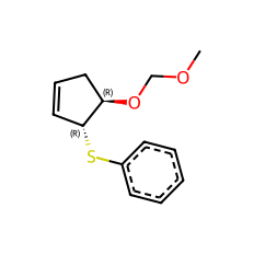 COCO[C@@H]1CC=C[C@H]1Sc1ccccc1